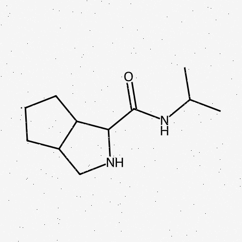 CC(C)NC(=O)C1NCC2C[CH]CC21